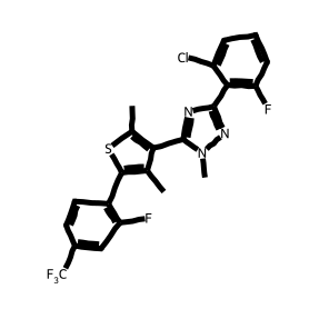 Cc1sc(-c2ccc(C(F)(F)F)cc2F)c(C)c1-c1nc(-c2c(F)cccc2Cl)nn1C